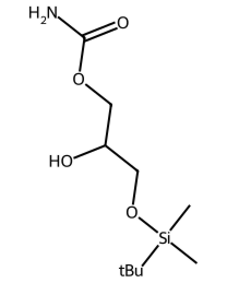 CC(C)(C)[Si](C)(C)OCC(O)COC(N)=O